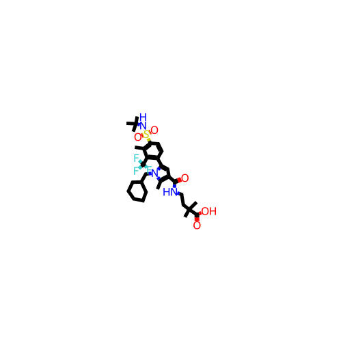 Cc1c(S(=O)(=O)NC(C)(C)C)ccc(-c2cc(C(=O)NCCC(C)(C)C(=O)O)c(C)n2CC2CCCCC2)c1C(F)(F)F